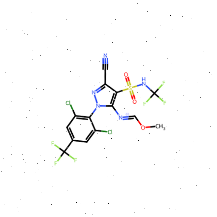 CO/C=N/c1c(S(=O)(=O)NC(F)(F)F)c(C#N)nn1-c1c(Cl)cc(C(F)(F)F)cc1Cl